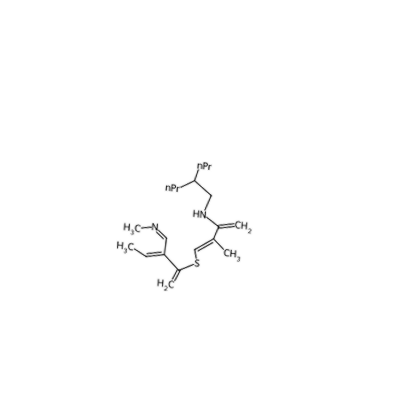 C=C(NCC(CCC)CCC)/C(C)=C/SC(=C)C(/C=N\C)=C/C